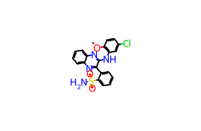 COc1ccc(Cl)cc1Nc1nc2ccccc2nc1-c1ccccc1S(N)(=O)=O